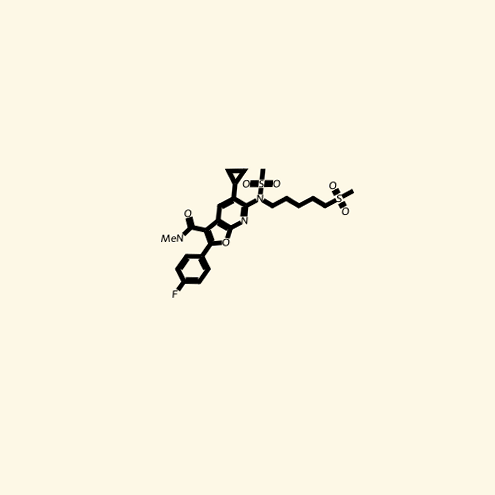 CNC(=O)c1c(-c2ccc(F)cc2)oc2nc(N(CCCCCS(C)(=O)=O)S(C)(=O)=O)c(C3CC3)cc12